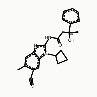 Cc1cc2nc(NC(=O)C[C@@](C)(O)c3ccccc3)n(C3CCC3)c2cc1C#N